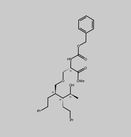 COC(=O)[C@H](COC[C@H](CCC(C)C)[C@@H](CCC(C)C)[C@H](C)O)NC(=O)OCc1ccccc1